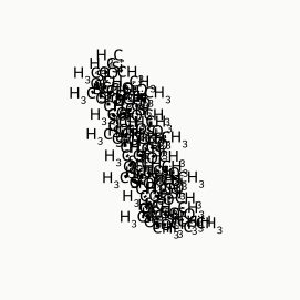 C=C[Si](C)(C)OO[Si](C)(C)O[Si](C)(C)O[Si](C)(C)O[Si](C)(C)O[Si](C)(C)O[Si](C)(C)O[Si](C)(C)O[Si](C)(C)O[Si](C)(C)O[Si](C)(C)O[Si](C)(C)O[Si](C)(C)O[Si](C)(C)O[Si](C)(C)O[Si](C)(C)O[Si](C)(C)O[Si](C)(C)O[Si](C)(C)O[Si](C)(C)O[Si](C)(C)O[Si](C)(C)O[Si](C)(C)O[Si](C)(C)O[Si](C)(C)O[Si](C)(C)O[Si](C)(C)O[Si](C)(C)O[Si](C)(C)O[Si](C)(C)O[SiH](C)C